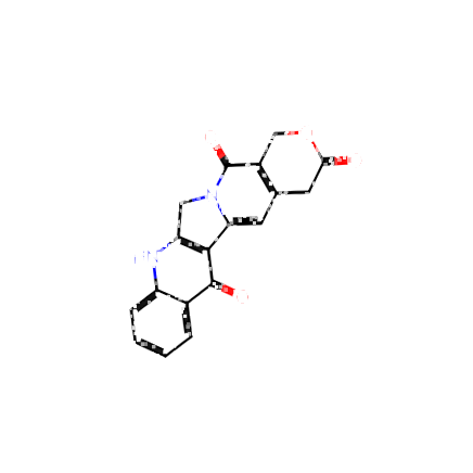 O=C1Cc2cc3n(c(=O)c2CO1)Cc1[nH]c2ccccc2c(=O)c1-3